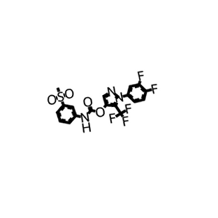 CS(=O)(=O)c1cccc(NC(=O)Oc2cnn(-c3ccc(F)c(F)c3)c2C(F)(F)F)c1